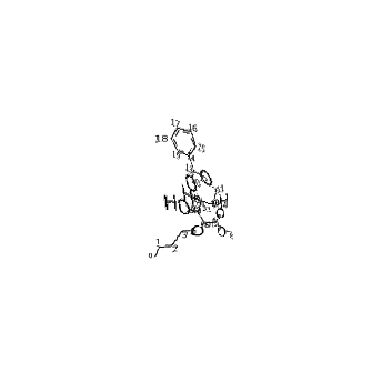 CCCCO[C@@H]1[C@@H](OC)O[C@@H]2COC(c3ccccc3)O[C@H]2[C@@H]1O